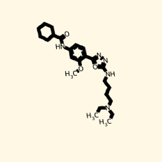 CCN(CC)CCCCNc1nnc(-c2ccc(NC(=O)C3CCCCC3)cc2OC)o1